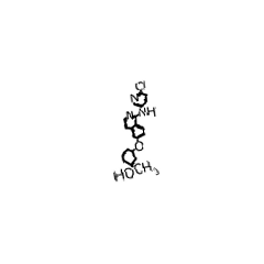 C[C@]1(O)CCC[C@@H](Oc2ccc3c(Nc4ccc(Cl)nc4)nccc3c2)C1